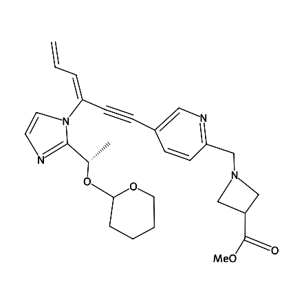 C=C/C=C(/C#Cc1ccc(CN2CC(C(=O)OC)C2)nc1)n1ccnc1[C@H](C)OC1CCCCO1